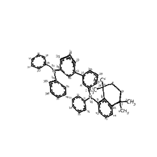 CC1(C)CCC(C)(C)c2c(N(c3ccccc3)c3cccc(-c4cccc(N(c5ccccc5)c5ccccc5)c4)c3)cccc21